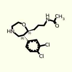 CC(=O)NCCC[C@@H]1OCCNC[C@H]1c1ccc(Cl)c(Cl)c1